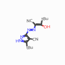 CC(C)(C)/C(O)=C(C#N)/N=N/c1n[nH]c(C(C)(C)C)c1C#N